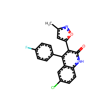 Cc1cc(-c2c(-c3ccc(F)cc3)c3cc(Cl)ccc3[nH]c2=O)on1